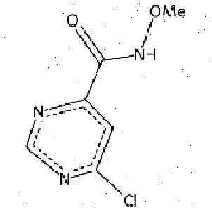 CONC(=O)c1cc(Cl)ncn1